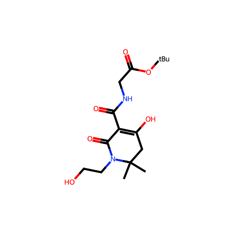 CC(C)(C)OC(=O)CNC(=O)C1=C(O)CC(C)(C)N(CCO)C1=O